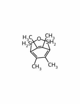 Cc1c(C)c2c(C)c(C)c1[SiH2]O[SiH2]2